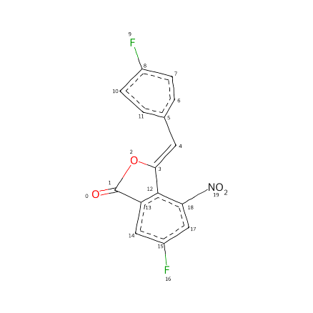 O=C1O/C(=C\c2ccc(F)cc2)c2c1cc(F)cc2[N+](=O)[O-]